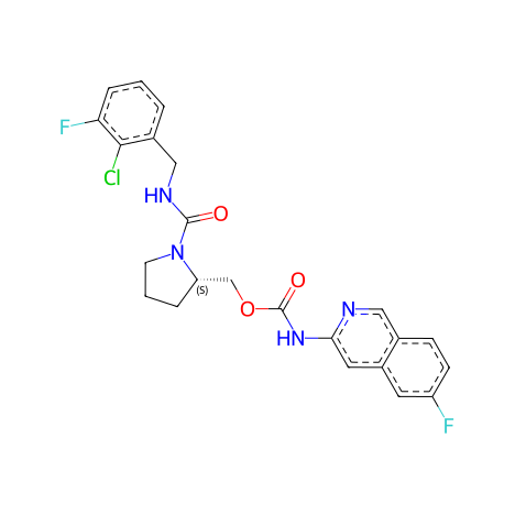 O=C(Nc1cc2cc(F)ccc2cn1)OC[C@@H]1CCCN1C(=O)NCc1cccc(F)c1Cl